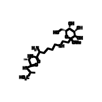 CO[C@@]1(CCNCCCC[C@H](N)C(=O)N[C@@H](C)C(=O)N[C@@H](C)C(=O)O)O[C@H](CO)[C@H](O)[C@H](O)[C@H]1O